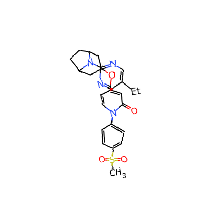 CCc1cnc(N2C3CCC2CC(Oc2ccn(-c4ccc(S(C)(=O)=O)cc4)c(=O)c2)C3)nc1